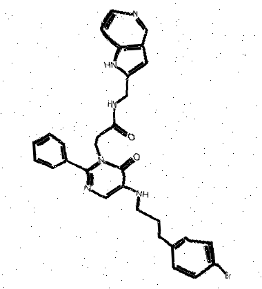 O=C(Cn1c(-c2ccccc2)ncc(NCCCc2ccc(Br)cc2)c1=O)NCc1cc2cnccc2[nH]1